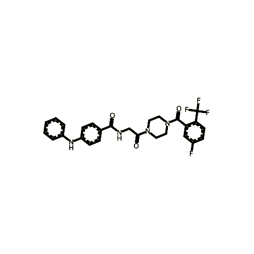 O=C(NCC(=O)N1CCN(C(=O)c2cc(F)ccc2C(F)(F)F)CC1)c1ccc(Nc2ccccc2)cc1